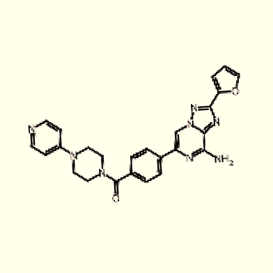 Nc1nc(-c2ccc(C(=O)N3CCN(c4ccncc4)CC3)cc2)cn2nc(-c3ccco3)nc12